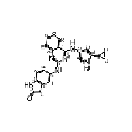 O=C1Cc2cc(Nc3nc(Nc4cc(C5CC5)[nH]n4)c4ccccc4n3)ccc2N1